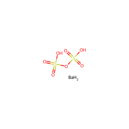 O=S(=O)(O)OS(=O)(=O)O.[BaH2]